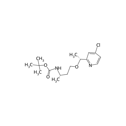 C[C@@H](CCO[C@H](C)c1cc(Cl)ccn1)NC(=O)OC(C)(C)C